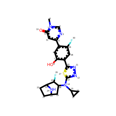 Cn1cnc(-c2cc(O)c(-c3nnc(N(C4CC4)C4CC5CCC(N5)C4F)s3)cc2F)cc1=O